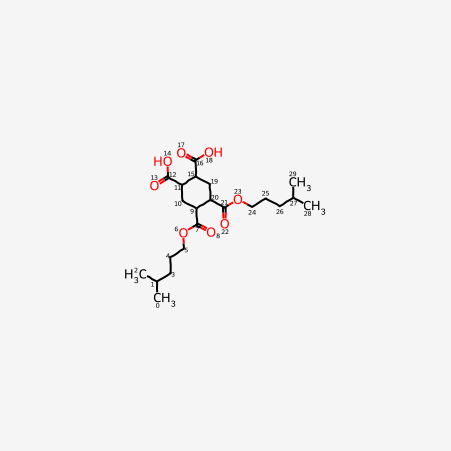 CC(C)CCCOC(=O)C1CC(C(=O)O)C(C(=O)O)CC1C(=O)OCCCC(C)C